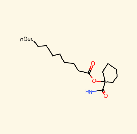 CCCCCCCCCCCCCCCCCC(=O)OC1(C([NH])=O)CCCCC1